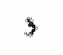 CCN(CC)c1ccc(C(=O)c2ccc3c(c2)c2cccc4c2n3CC/C4=N\OC(C)=O)cc1